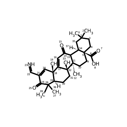 CC1(C)CC[C@]2(C(=O)O)CC[C@]3(C)C(C(=O)C=C4[C@@]5(C)C=C(C=N)C(=O)C(C)(C)[C@@H]5CC[C@]43C)[C@H]2C1